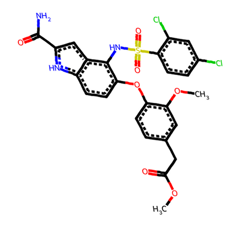 COC(=O)Cc1ccc(Oc2ccc3[nH]c(C(N)=O)cc3c2NS(=O)(=O)c2ccc(Cl)cc2Cl)c(OC)c1